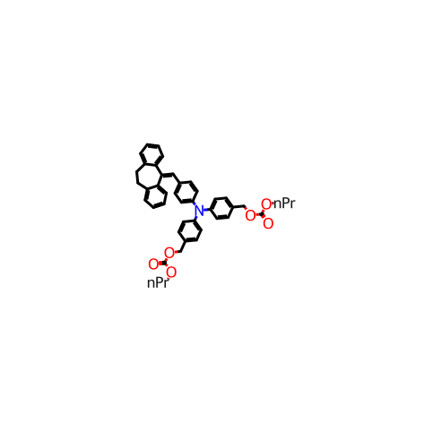 CCCOC(=O)OCc1ccc(N(c2ccc(C=C3c4ccccc4CCc4ccccc43)cc2)c2ccc(COC(=O)OCCC)cc2)cc1